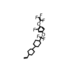 C=CC1CCC(C2CCC(C(F)(F)Oc3ccc(OC(F)=C(F)F)c(F)c3)CC2)CC1